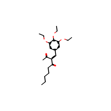 CCCCCC(=O)/C(=C/c1cc(OCC)c(OCC)c(OCC)c1)C(C)=O